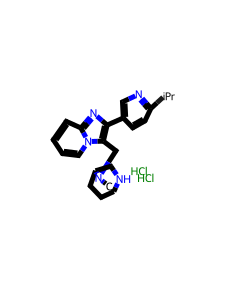 CC(C)c1ccc(-c2nc3ccccn3c2CN2CC3CCC2CN3)cn1.Cl.Cl